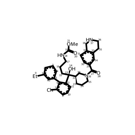 CCc1cccc(-c2c(Cl)cccc2[C@](O)(CCCNC(=O)OC)[C@@H]2CCCN(C(=O)c3ccc4c(c3)CCNC4)C2)c1